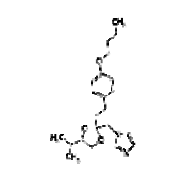 CCCCOc1ccc(CCC2(Cn3ccnc3)OCC(C(C)C)O2)cc1